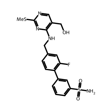 CSc1ncc(CO)c(NCc2ccc(-c3cccc(S(N)(=O)=O)c3)c(F)c2)n1